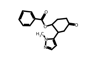 Cn1nccc1C1CC(=O)CCC1OC(=O)c1ccccc1